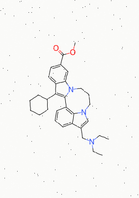 CCN(CC)Cc1cn2c3c(cccc13)-c1c(C3CCCCC3)c3ccc(C(=O)OC)cc3n1CCC2